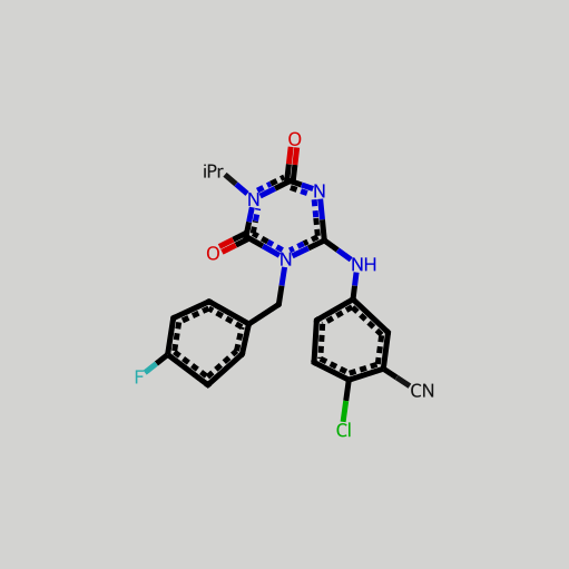 CC(C)n1c(=O)nc(Nc2ccc(Cl)c(C#N)c2)n(Cc2ccc(F)cc2)c1=O